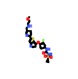 COCCNCc1ccc(-c2cc3nccc(Oc4ccc(NC(=O)NS(=O)(=O)C5CC5)cc4F)c3s2)nc1